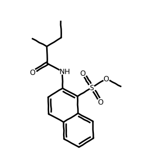 CCC(C)C(=O)Nc1ccc2ccccc2c1S(=O)(=O)OC